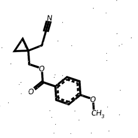 COc1ccc(C(=O)OCC2(CC#N)CC2)cc1